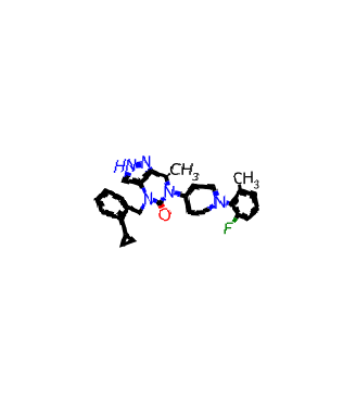 Cc1cccc(F)c1N1CCC(N2C(=O)N(Cc3ccccc3C3CC3)c3c[nH]nc3[C@@H]2C)CC1